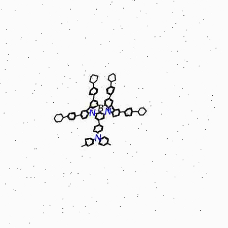 Cc1ccc(N(c2ccc(C)cc2)c2ccc(-c3cc4c5c(c3)-n3c6ccc(-c7ccc(C8CCCCC8)cc7)cc6c6cc(-c7ccc(C8CCCCC8)cc7)cc(c63)B5c3cc(-c5ccc(C6CCCCC6)cc5)cc5c6cc(-c7ccc(C8CCCCC8)cc7)ccc6n-4c35)cc2)cc1